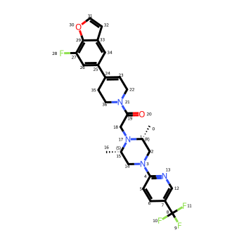 C[C@@H]1CN(c2ccc(C(F)(F)F)cn2)C[C@H](C)N1CC(=O)N1CC=C(c2cc(F)c3occc3c2)CC1